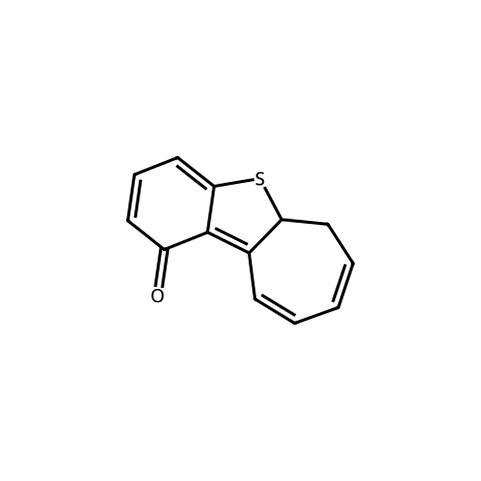 O=C1C=CC=C2SC3CC=CC=CC3=C12